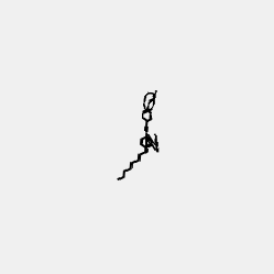 CCCCCCCCc1ccc(C#Cc2ccc(OCC)cc2)nn1